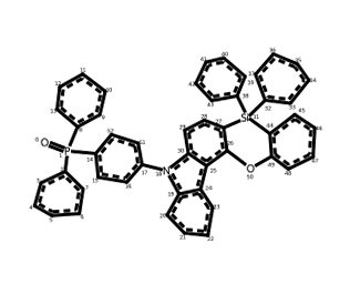 O=P(c1ccccc1)(c1ccccc1)c1ccc(-n2c3ccccc3c3c4c(ccc32)[Si](c2ccccc2)(c2ccccc2)c2ccccc2O4)cc1